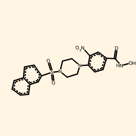 O=C(NO)c1ccc(N2CCN(S(=O)(=O)c3ccc4ccccc4c3)CC2)c([N+](=O)[O-])c1